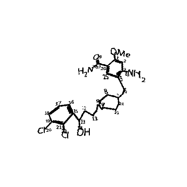 COc1cc(N)c(CC2CCN(CCC(O)c3cccc(Cl)c3Cl)CC2)cc1C(N)=O